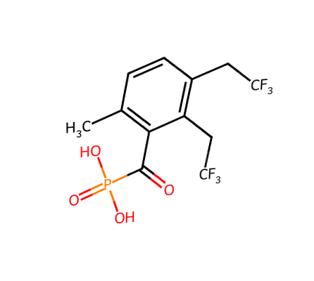 Cc1ccc(CC(F)(F)F)c(CC(F)(F)F)c1C(=O)P(=O)(O)O